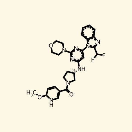 COC1C=CC(C(=O)N2CC[C@H](Nc3cc(-n4c(C(F)F)nc5ccccc54)nc(N4CCOCC4)n3)C2)=CN1